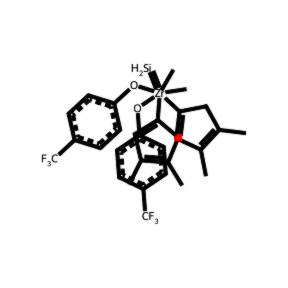 CC1=C(C)C[C]([Zr]([CH3])([CH3])(=[SiH2])([O]c2ccc(C(F)(F)F)cc2)([O]c2ccc(C(F)(F)F)cc2)[C]2=CC(C)=C(C)C2)=C1